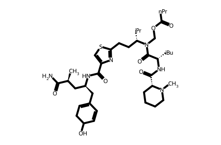 CCCC(=O)OCN(C(=O)[C@@H](NC(=O)[C@H]1CCCCN1C)C(C)CC)[C@H](CCc1nc(C(=O)N[C@@H](CC2=CCC(O)C=C2)C[C@H](C)C(N)=O)cs1)C(C)C